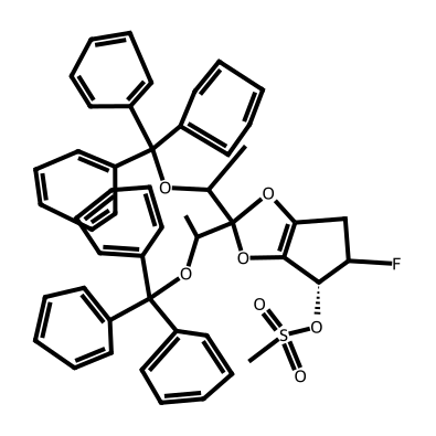 CC(OC(c1ccccc1)(c1ccccc1)c1ccccc1)C1(C(C)OC(c2ccccc2)(c2ccccc2)c2ccccc2)OC2=C(O1)[C@@H](OS(C)(=O)=O)C(F)C2